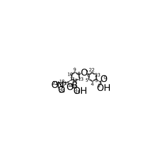 O=C(O)c1ccc(Oc2ccc3c(c2)B(O)OC3C[N+](=O)[O-])cc1